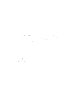 CCCCCS(=O)(=O)NC[C@H]1C(C(CC)CCC=CO)C(O)C[C@H]1O